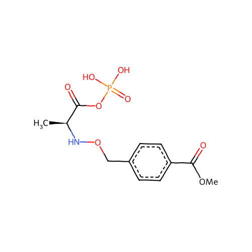 COC(=O)c1ccc(CON[C@@H](C)C(=O)OP(=O)(O)O)cc1